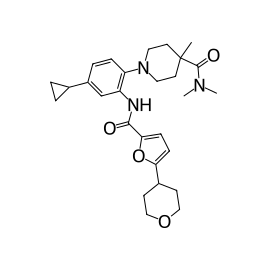 CN(C)C(=O)C1(C)CCN(c2ccc(C3CC3)cc2NC(=O)c2ccc(C3CCOCC3)o2)CC1